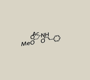 COC(=O)CC(NC(=O)C=Cc1ccccc1)C(C)=O